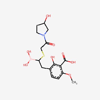 COc1ccc(CC(SCC(=O)N2CCC(O)C2)B(O)O)c(O)c1C(=O)O